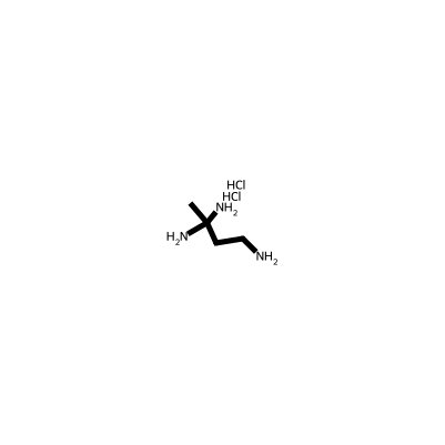 CC(N)(N)CCN.Cl.Cl